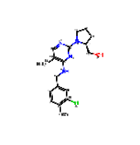 COc1ccc(CNc2nc(N3CCC[C@H]3CO)ncc2C(=O)O)cc1Cl